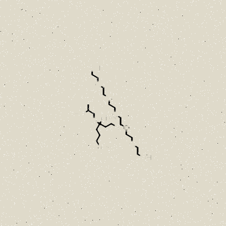 CCCCCCCCCCCCCC(CCCCCCCCCC)(CCCCCCCCCCCC)OCC(C)O.OCCOCCOCCOCCOCCOCCO